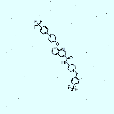 O=C(NC1CCN(Cc2ccc(C(F)(F)F)cc2)CC1)c1cnc2c(OC3CCN(c4ccc(C(F)(F)F)cc4)CC3)cccc2c1